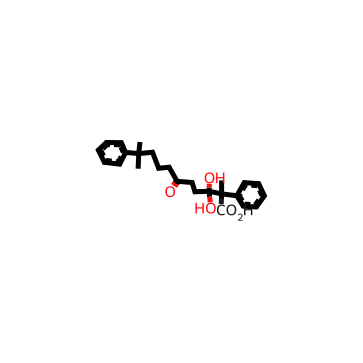 CC(C)(CCCC(=O)CCC(O)(O)C(C)(C(=O)O)c1ccccc1)c1ccccc1